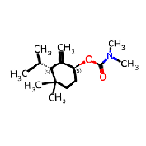 C=C1[C@@H](OC(=O)N(C)C)CCC(C)(C)[C@@H]1C(C)C